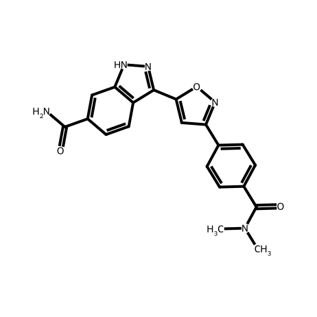 CN(C)C(=O)c1ccc(-c2cc(-c3n[nH]c4cc(C(N)=O)ccc34)on2)cc1